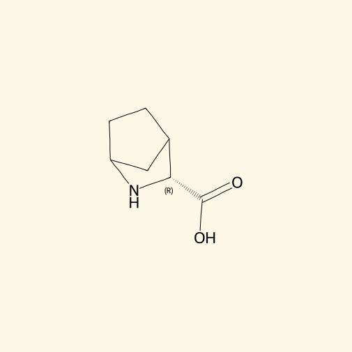 O=C(O)[C@@H]1NC2CCC1C2